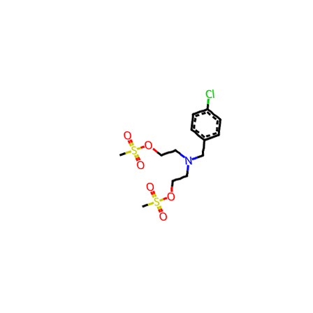 CS(=O)(=O)OCCN(CCOS(C)(=O)=O)Cc1ccc(Cl)cc1